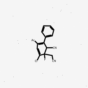 CC(=O)C1=C(c2ccccc2)C(C#N)C(F)(CC#N)C(Cl)=C1